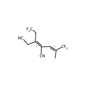 C/C(=C\C(C#N)=C(\CC#N)CC(F)(F)F)C(F)(F)F